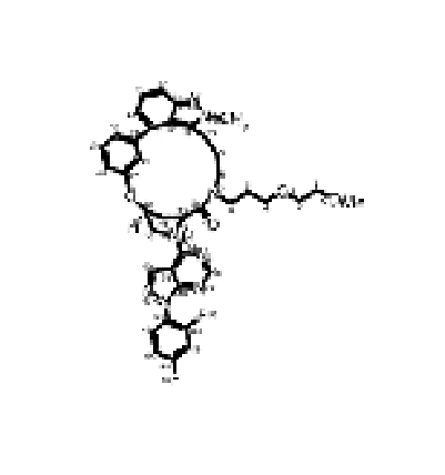 COCCOCCCN1CCCc2c3c(cccc3nn2C)-c2cccc(c2)O[C@H]2C[C@@H](C1=O)N(c1ncnc3c1cnn3-c1ccc(F)cc1F)C2